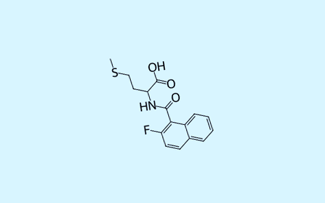 CSCCC(NC(=O)c1c(F)ccc2ccccc12)C(=O)O